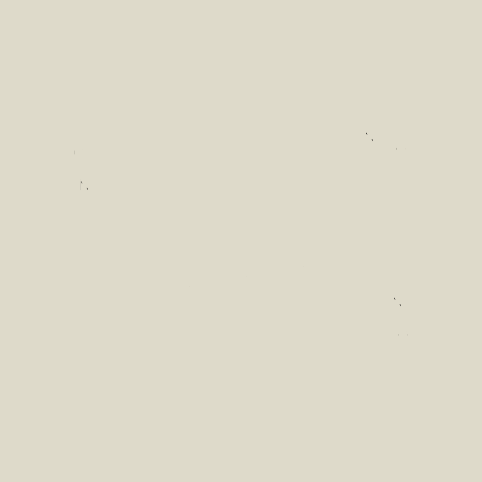 Cc1ccc(-c2c(C)c(-c3ccc(N=O)cc3)c(-c3ccc(N=O)cc3)c(C)c2-c2ccc(N=O)cc2)cc1